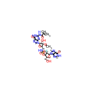 CO[C@H]1[C@@H](O)[C@H](n2cnc3c(=O)[nH]c(NC(=O)C(C)C)nc32)O[C@@H]1CNS(=O)(=O)O[C@H]1[C@@H](F)[C@H](n2cnc3c(=O)[nH]cnc32)O[C@@H]1CO